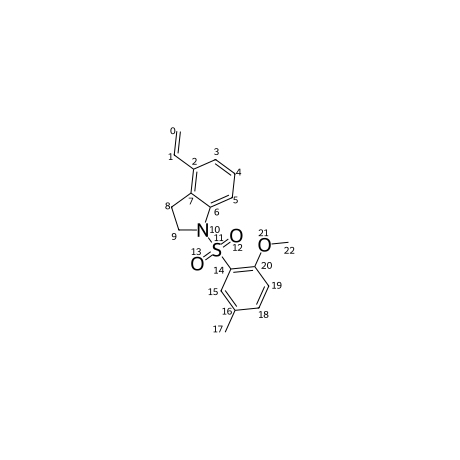 C=Cc1cccc2c1CCN2S(=O)(=O)c1cc(C)ccc1OC